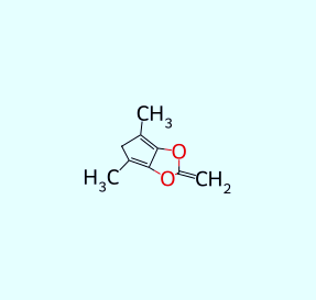 C=C1OC2=C(C)CC(C)=C2O1